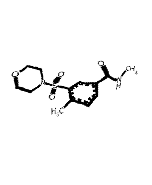 CNC(=O)c1ccc(C)c(S(=O)(=O)N2CCOCC2)c1